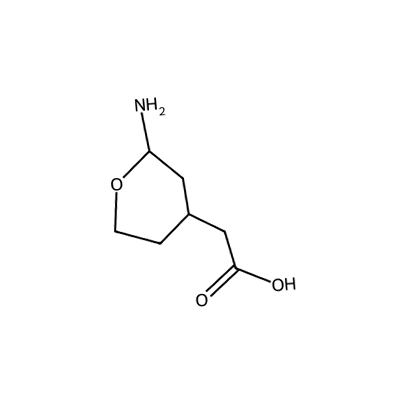 NC1CC(CC(=O)O)CCO1